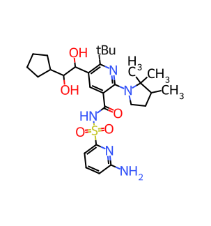 CC1CCN(c2nc(C(C)(C)C)c(C(O)C(O)C3CCCC3)cc2C(=O)NS(=O)(=O)c2cccc(N)n2)C1(C)C